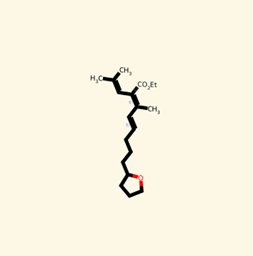 CCOC(=O)/C(C=C(C)C)=C(C)/C=C/CCCC1CCCO1